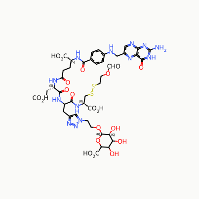 Nc1nc2ncc(CNc3ccc(C(=O)N[C@@H](CCC(=O)N[C@@H](CC(=O)O)C(=O)NC(Cc4cn(CCO[C@@H]5OC(C(=O)O)C(O)C(O)[C@@H]5O)nn4)C(=O)N[C@@H](CSSCCOC=O)C(=O)O)C(=O)O)cc3)nc2c(=O)[nH]1